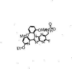 CCOc1cccc(-c2nc3nc(F)c(CN[SH](=O)=O)nc3n2-c2c(OC)cccc2OC)n1